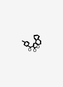 Cc1ccc(C(=O)c2cc3c(ccc4ccccc43)oc2=O)cc1